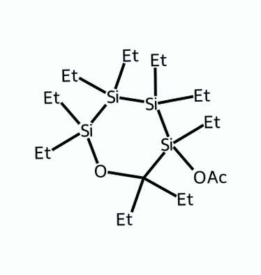 CCC1(CC)O[Si](CC)(CC)[Si](CC)(CC)[Si](CC)(CC)[Si]1(CC)OC(C)=O